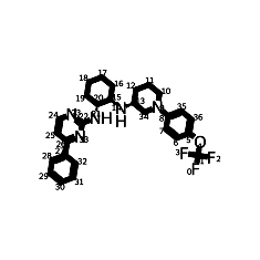 FC(F)(F)Oc1ccc(N2CCC[C@H](N[C@@H]3CCCC[C@H]3Nc3nccc(-c4ccccc4)n3)C2)cc1